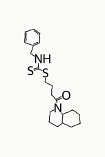 O=C(CCCSC(=S)NCc1ccccc1)N1CCCC2CCCCC21